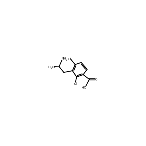 C[C@@H](N)Cc1c(Cl)ccc(C(=O)O)c1Cl